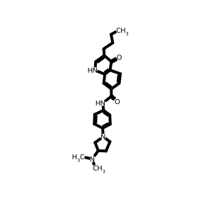 CCCCc1c[nH]c2cc(C(=O)Nc3ccc(N4CCC(N(C)C)C4)cc3)ccc2c1=O